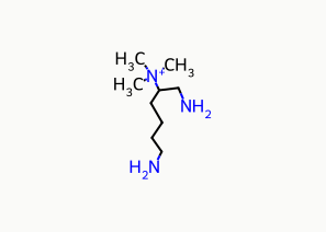 C[N+](C)(C)C(CN)CCCCN